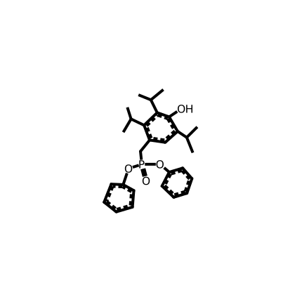 CC(C)c1cc(CP(=O)(Oc2ccccc2)Oc2ccccc2)c(C(C)C)c(C(C)C)c1O